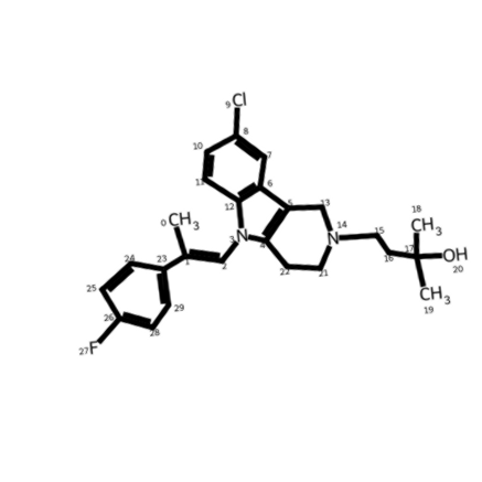 C/C(=C\n1c2c(c3cc(Cl)ccc31)CN(CCC(C)(C)O)CC2)c1ccc(F)cc1